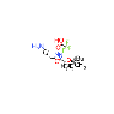 C[C@H](O[Si](C)(C)C(C)(C)C)c1nnc(C[C@H]2C[C@H](N)C2)o1.O=C(O)C(F)(F)F